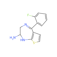 NC1CN=C(c2ccccc2F)c2ccsc2N1